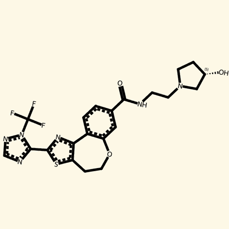 O=C(NCCN1CC[C@H](O)C1)c1ccc2c(c1)OCCc1sc(-c3ncnn3C(F)(F)F)nc1-2